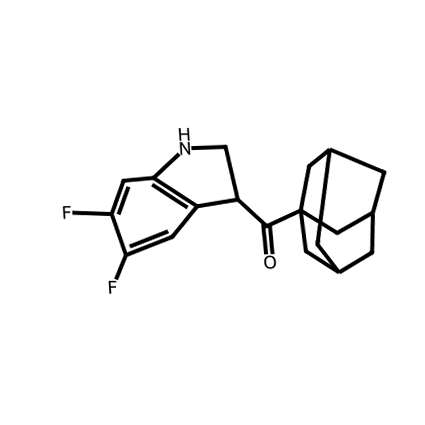 O=C(C1CNc2cc(F)c(F)cc21)C12CC3CC(CC(C3)C1)C2